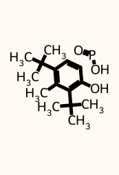 Cc1c(C(C)(C)C)ccc(O)c1C(C)(C)C.O=PO